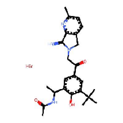 Br.CC(=O)NC(C)c1cc(C(=O)CN2Cc3ccc(C)nc3C2=N)cc(C(C)(C)C)c1O